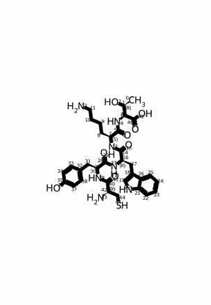 C[C@@H](O)[C@H](NC(=O)[C@H](CCCCN)NC(=O)[C@@H](Cc1c[nH]c2ccccc12)NC(=O)[C@H](Cc1ccc(O)cc1)NC(=O)[C@@H](N)CS)C(=O)O